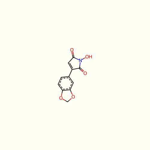 O=C1C=C(c2ccc3c(c2)OCO3)C(=O)N1O